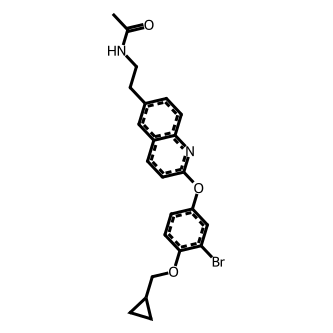 CC(=O)NCCc1ccc2nc(Oc3ccc(OCC4CC4)c(Br)c3)ccc2c1